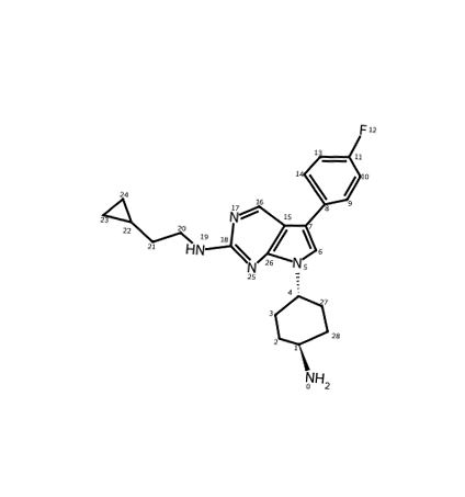 N[C@H]1CC[C@H](n2cc(-c3ccc(F)cc3)c3cnc(NCCC4CC4)nc32)CC1